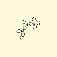 c1ccc(S2(c3ccc(-n4c5ccccc5c5cc(-n6c7ccccc7c7c8ccccc8ccc76)ccc54)cc3)c3ccccc3-c3ccccc32)cc1